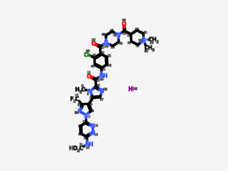 Cn1c(-c2cn(-c3ccc(NC(=O)O)nn3)nc2C(F)(F)F)cnc1C(=O)Nc1ccc(C(=O)N2CCN(C(=O)C3CC[N+](C)(C)CC3)CC2)c(Cl)c1.I